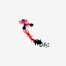 CC(=O)O[C@@H]1CC[C@@H]2[C@H]3CCc4cc(OCCOCCOCCOCCOc5ccc(C[C@H](NC(=O)OCc6ccccc6)C(=O)ON6C(=O)CCC6=O)cc5)ccc4[C@@H]3CC[C@]21C